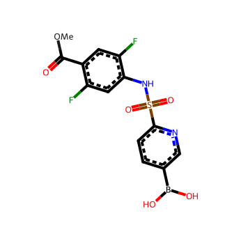 COC(=O)c1cc(F)c(NS(=O)(=O)c2ccc(B(O)O)cn2)cc1F